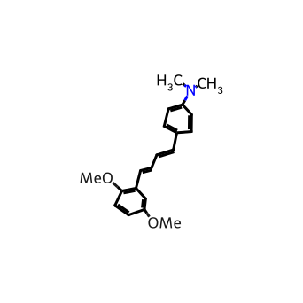 COc1ccc(OC)c(/C=C/C=C/c2ccc(N(C)C)cc2)c1